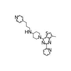 Cc1csc2c(N3CCC(NCCCc4ccncc4)CC3)nc(-c3ccccn3)nc12